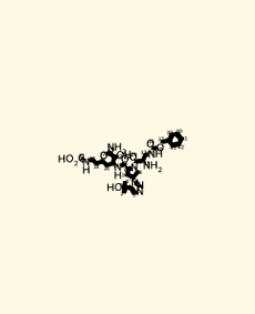 CC(C)(O)c1cnnn1[C@H]1C[C@@H](C(=O)NC(CCCCNC(=O)O)C(O)C(N)=O)N(C(=O)C(N)CNC(=O)OCc2ccccc2)C1